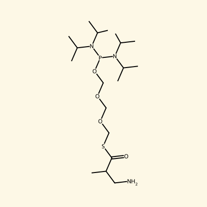 CC(CN)C(=O)SCOCOCOP(N(C(C)C)C(C)C)N(C(C)C)C(C)C